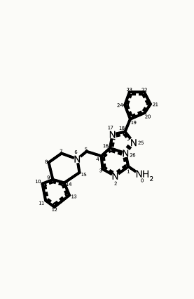 Nc1ncc(CN2CCc3ccccc3C2)c2nc(-c3ccccc3)nn12